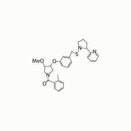 COC1CN(C(=O)c2ccccc2C)CC1Oc1cccc(CSN2CCCC2c2ccccn2)c1